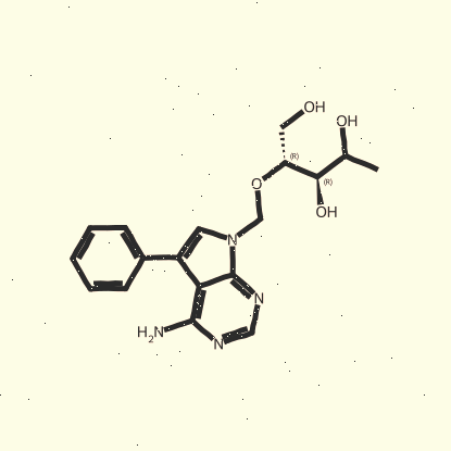 CC(O)[C@@H](O)[C@@H](CO)OCn1cc(-c2ccccc2)c2c(N)ncnc21